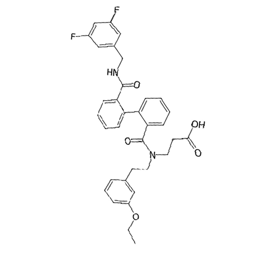 CCOc1cccc(CCN(CCC(=O)O)C(=O)c2ccccc2-c2ccccc2C(=O)NCc2cc(F)cc(F)c2)c1